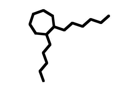 CCCCCCC1CCCCCC1CCCCC